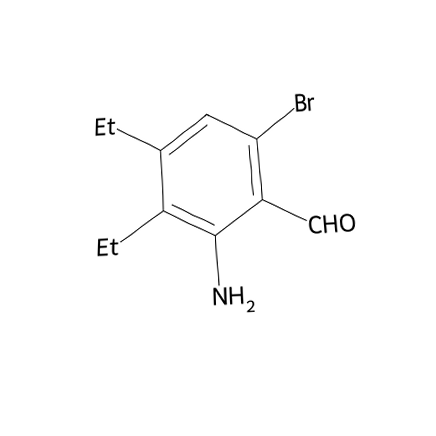 CCc1cc(Br)c(C=O)c(N)c1CC